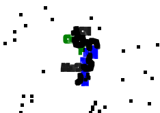 COc1nc(-c2nc3n(n2)CCC[C@@H]3c2cc(C(C)(C)C#N)c(Cl)cc2F)ccc1-n1cnc(C)c1